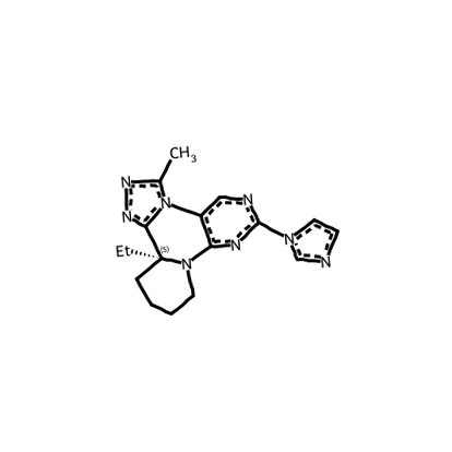 CC[C@@]12CCCCN1c1nc(-n3ccnc3)ncc1-n1c(C)nnc12